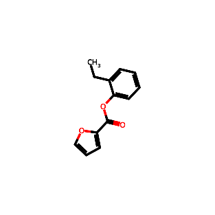 CCc1ccccc1OC(=O)c1ccco1